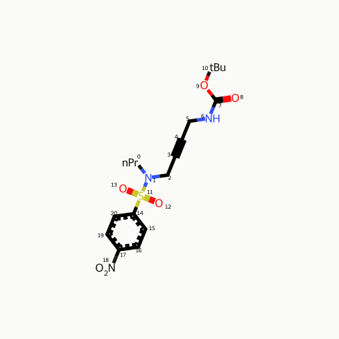 CCCN(CC#CCNC(=O)OC(C)(C)C)S(=O)(=O)c1ccc([N+](=O)[O-])cc1